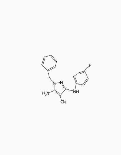 N#Cc1c(Nc2ccc(F)cc2)nn(Cc2ccccc2)c1N